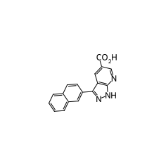 O=C(O)c1cnc2[nH]nc(-c3ccc4ccccc4c3)c2c1